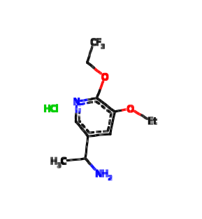 CCOc1cc(C(C)N)cnc1OCC(F)(F)F.Cl